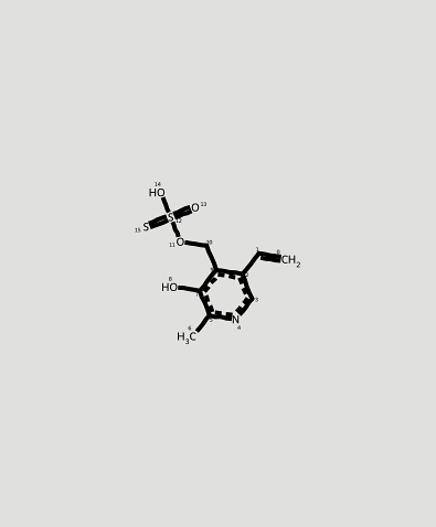 C=Cc1cnc(C)c(O)c1COS(=O)(O)=S